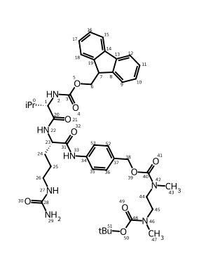 CC(C)[C@H](NC(=O)OCC1c2ccccc2-c2ccccc21)C(=O)N[C@@H](CCCNC(N)=O)C(=O)Nc1ccc(COC(=O)N(C)CCN(C)C(=O)OC(C)(C)C)cc1